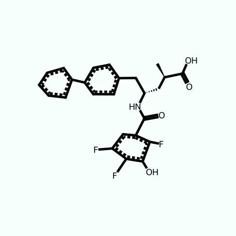 C[C@H](C[C@@H](Cc1ccc(-c2ccccc2)cc1)NC(=O)c1cc(F)c(F)c(O)c1F)C(=O)O